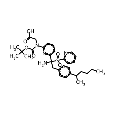 CCCCC(C)c1ccc(CC(N)(c2cccc(N(CC(=O)O)C(=O)OC(C)(C)C)n2)S(=O)(=O)c2ccccn2)cc1